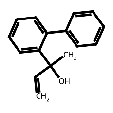 C=CC(C)(O)c1ccccc1-c1ccccc1